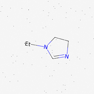 C[CH]N1C=NCC1